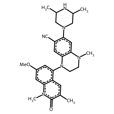 COc1cc(N2CCN(C)c3cc(N4CC(C)NC(C)C4)c(C#N)cc32)c2cc(C)c(=O)n(C)c2c1